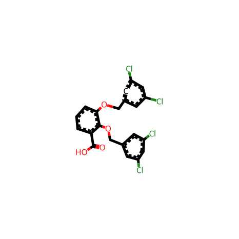 O=C(O)c1cccc(OCc2cc(Cl)cc(Cl)c2)c1OCc1cc(Cl)cc(Cl)c1